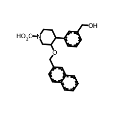 O=C(O)N1CCC(c2cccc(CO)c2)C(OCc2ccc3ccccc3c2)C1